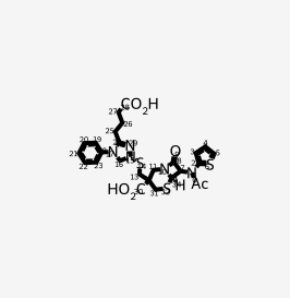 CC(=O)N(c1cccs1)C1C(=O)N2CC(CSN3CN(c4ccccc4)C(CCCC(=O)O)=N3)(C(=O)O)CS[C@H]12